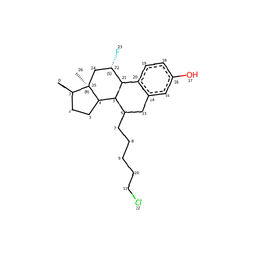 CC1CCC2C3C(CCCCCCl)Cc4cc(O)ccc4C3[C@@H](F)C[C@]12C